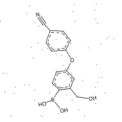 N#Cc1ccc(Oc2ccc(B(O)O)c(CO)c2)cc1